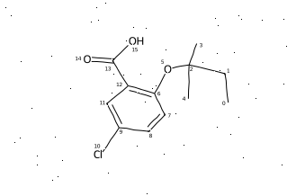 CCC(C)(C)Oc1ccc(Cl)cc1C(=O)O